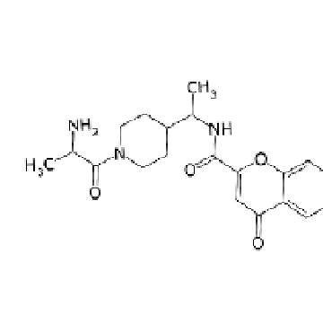 CC(N)C(=O)N1CCC(C(C)NC(=O)c2cc(=O)c3ccccc3o2)CC1